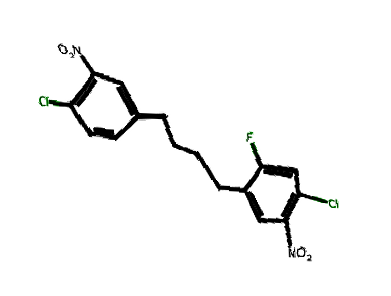 O=[N+]([O-])c1cc([CH]CC[CH]c2cc([N+](=O)[O-])c(Cl)cc2F)ccc1Cl